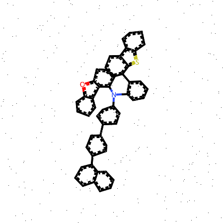 c1ccc(N(c2ccc(-c3ccc(-c4cccc5ccccc45)cc3)cc2)c2cccc3oc4ccccc4c23)c(-c2cccc3c2sc2ccccc23)c1